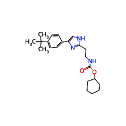 CC(C)(C)c1ccc(-c2c[nH]c(CCNC(=O)OC3CCCCC3)n2)cc1